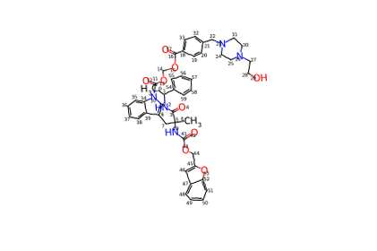 CC(NC(=O)C(C)(Cc1cn(C(=O)OCOC(=O)c2ccc(CN3CCN(CCO)CC3)cc2)c2ccccc12)NC(=O)OCc1cc2ccccc2o1)c1ccccc1